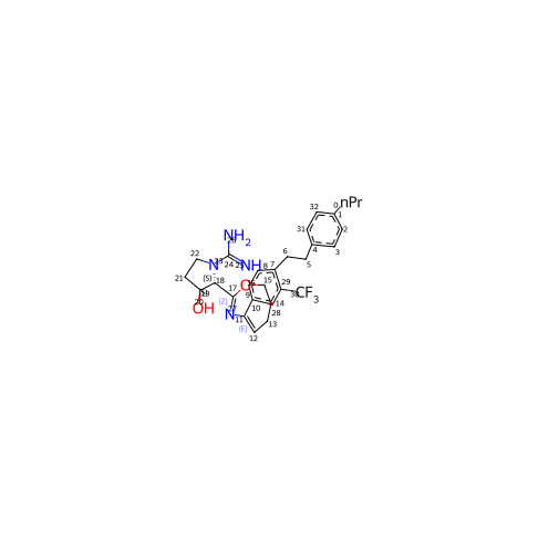 CCCc1ccc(CCc2ccc(C3=C\CCCO/C([C@@H]4[C@@H](O)CCN4C(=N)N)=N\3)cc2C(F)(F)F)cc1